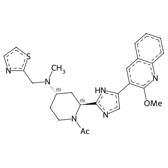 COc1nc2ccccc2cc1-c1cnc([C@@H]2C[C@@H](N(C)Cc3nccs3)CCN2C(C)=O)[nH]1